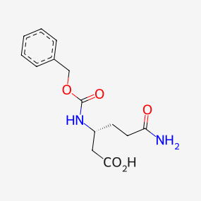 NC(=O)CC[C@H](CC(=O)O)NC(=O)OCc1ccccc1